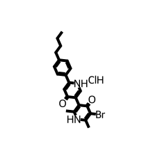 CCCCc1ccc(-c2cc(=O)c(-c3c(C)[nH]c(C)c(Br)c3=O)c[nH]2)cc1.Cl